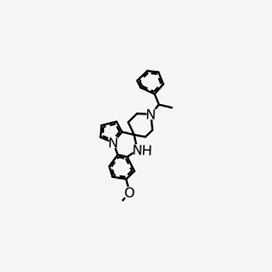 COc1ccc2c(c1)NC1(CCN(C(C)c3ccccc3)CC1)c1cccn1-2